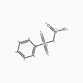 O=[N+]([O-])CS(=O)(=O)c1ccccc1